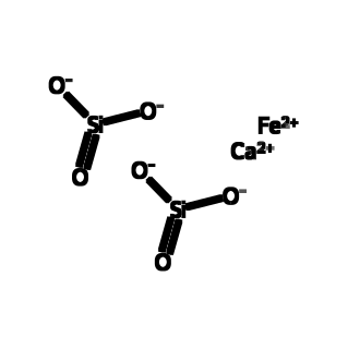 O=[Si]([O-])[O-].O=[Si]([O-])[O-].[Ca+2].[Fe+2]